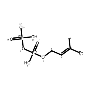 CCC(C)=CCOP(=O)(O)OP(=O)(O)O